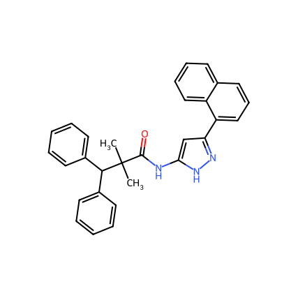 CC(C)(C(=O)Nc1cc(-c2cccc3ccccc23)n[nH]1)C(c1ccccc1)c1ccccc1